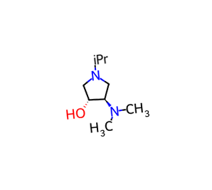 CC(C)N1C[C@@H](O)[C@H](N(C)C)C1